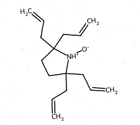 C=CCC1(CC=C)CCC(CC=C)(CC=C)[NH+]1[O-]